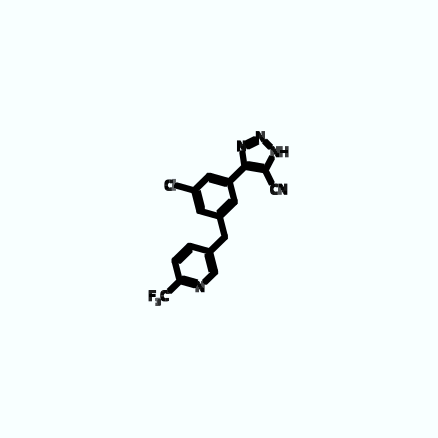 N#Cc1[nH]nnc1-c1cc(Cl)cc(Cc2ccc(C(F)(F)F)nc2)c1